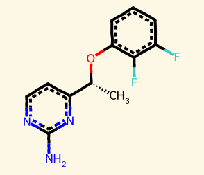 C[C@@H](Oc1cccc(F)c1F)c1ccnc(N)n1